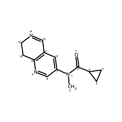 CN(C(=O)C1CC1)c1cnc2c(c1)C=NCC2